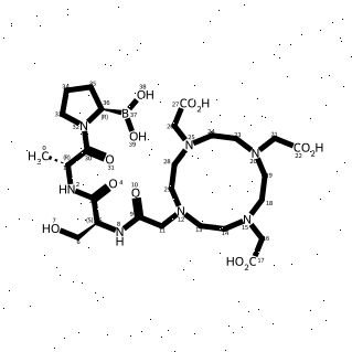 C[C@@H](NC(=O)[C@H](CO)NC(=O)CN1CCN(CC(=O)O)CCN(CC(=O)O)CCN(CC(=O)O)CC1)C(=O)N1CCC[C@H]1B(O)O